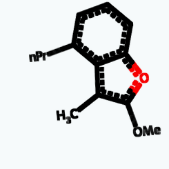 CCCc1cccc2oc(OC)c(C)c12